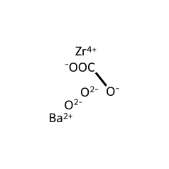 O=C([O-])[O-].[Ba+2].[O-2].[O-2].[Zr+4]